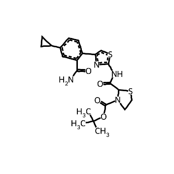 CC(C)(C)OC(=O)N1CCSC1C(=O)Nc1nc(-c2ccc(C3CC3)cc2C(N)=O)cs1